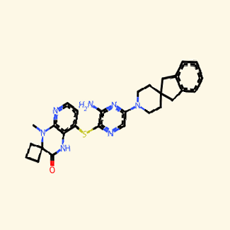 CN1c2nccc(Sc3ncc(N4CCC5(CC4)Cc4ccccc4C5)nc3N)c2NC(=O)C12CCC2